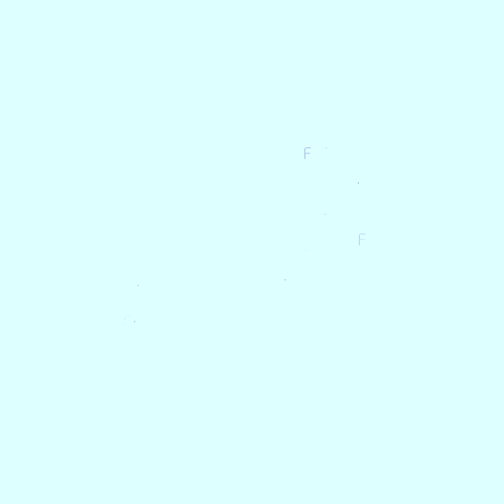 CC(C)(CC(C)(C)C(C)(C)C(F)(F)C(C)(C)C(F)(F)F)C1CO1